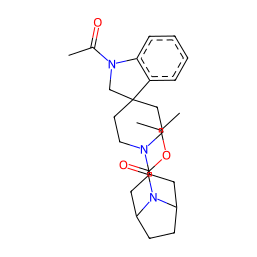 CC(=O)N1CC2(CCN(C3CC4CCC(C3)N4C(=O)OC(C)C)CC2)c2ccccc21